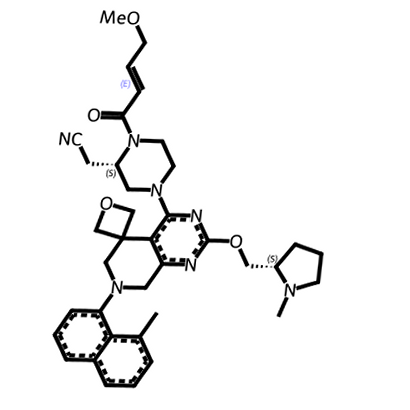 COC/C=C/C(=O)N1CCN(c2nc(OC[C@@H]3CCCN3C)nc3c2C2(COC2)CN(c2cccc4cccc(C)c24)C3)C[C@@H]1CC#N